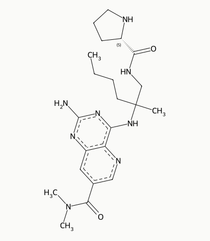 CCCCC(C)(CNC(=O)[C@@H]1CCCN1)Nc1nc(N)nc2cc(C(=O)N(C)C)cnc12